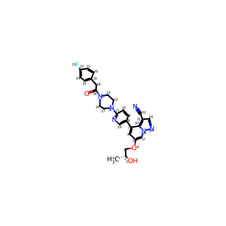 C[C@@H](O)COc1cc(-c2ccc(N3CCN(C(=O)Cc4ccc(F)cc4)CC3)nc2)c2c(C#N)cnn2c1